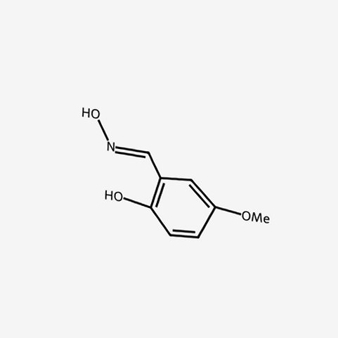 COc1ccc(O)c(/C=N/O)c1